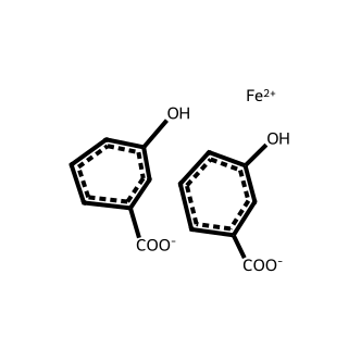 O=C([O-])c1cccc(O)c1.O=C([O-])c1cccc(O)c1.[Fe+2]